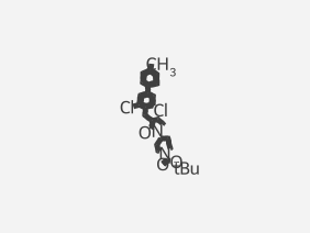 Cc1ccc(-c2cc(Cl)c(CC3CCN(C4CCN(C(=O)OC(C)(C)C)CC4)C3=O)c(Cl)c2)cc1